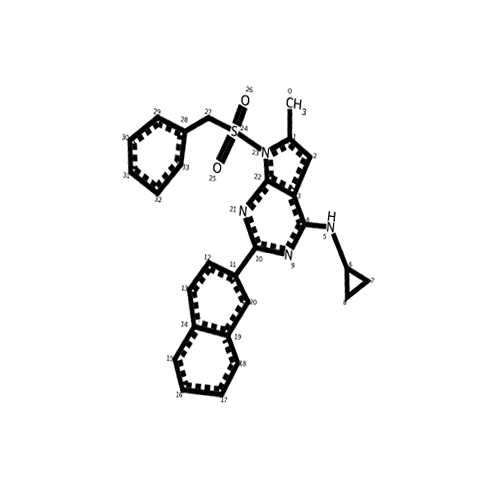 Cc1cc2c(NC3CC3)nc(-c3ccc4ccccc4c3)nc2n1S(=O)(=O)Cc1ccccc1